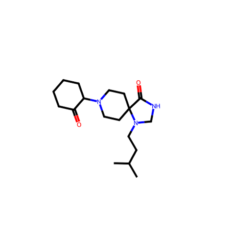 CC(C)CCN1CNC(=O)C12CCN(C1CCCCC1=O)CC2